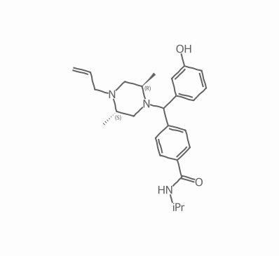 C=CCN1C[C@@H](C)N(C(c2ccc(C(=O)NC(C)C)cc2)c2cccc(O)c2)C[C@@H]1C